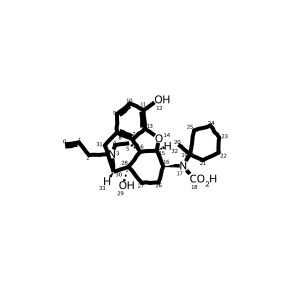 C=CCN1CC[C@]23c4c5ccc(O)c4O[C@H]2[C@@H](N(C(=O)O)C2(C)CCCCC2)CC[C@@]3(O)[C@H]1C5